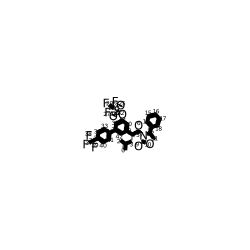 CC(C)C[C@@H](C(=O)N1C(=O)OCC1c1ccccc1)c1cc(OS(=O)(=O)C(F)(F)F)cc(-c2ccc(C(F)(F)F)cc2)c1